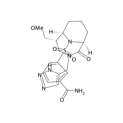 COC[C@H]1CN(Cc2cnn[nH]2)C(=O)[C@@H]2CCC[C@H]1N2S(=O)(=O)c1cccc(C(N)=O)c1